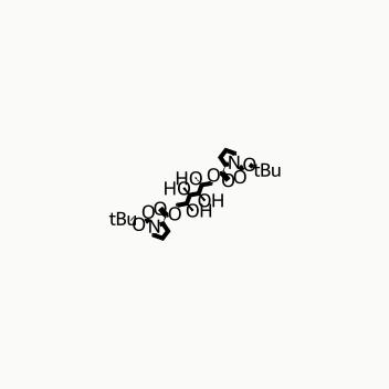 CC(C)(C)OC(=O)N1CCC[C@H]1C(=O)OC[C@@H](O)[C@@H](O)[C@H](O)[C@@H](O)COC(=O)[C@@H]1CCCN1C(=O)OC(C)(C)C